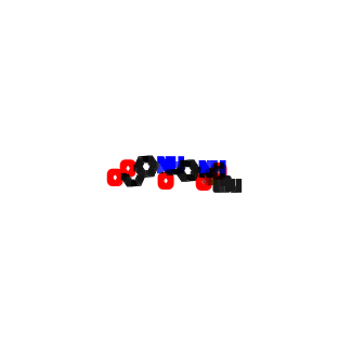 CC(C)(C)S(=O)(=O)Nc1ccc(C(=O)Nc2ccc3oc(=O)ccc3c2)cc1